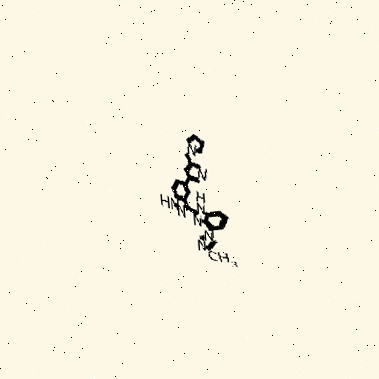 Cc1cn(-c2cccc3[nH]c(-c4n[nH]c5ccc(-c6cncc(CN7CCCC7)c6)cc45)nc23)cn1